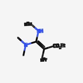 CCCCNC(=C(CCC)C(=O)OCC)N(C)C